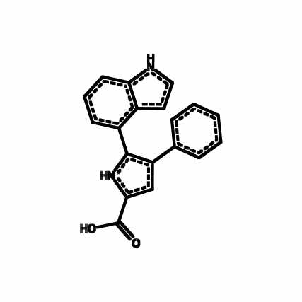 O=C(O)c1cc(-c2ccccc2)c(-c2cccc3[nH]ccc23)[nH]1